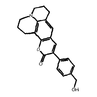 O=c1oc2c3c4c(cc2cc1-c1ccc(CO)cc1)CCCN4CCC3